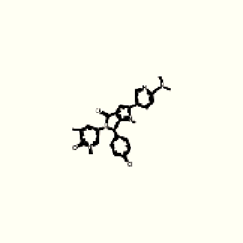 Cc1cc(N2C(=O)c3cc(-c4ccc(N(C)C)nc4)n(C)c3C2c2ccc(Cl)cc2)cn(C)c1=O